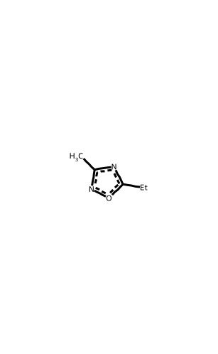 CCc1nc(C)no1